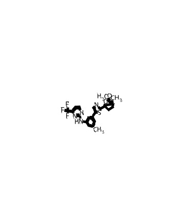 Cc1cc(Nc2nccc(C(F)(F)F)n2)cc(-c2cnc(C34CCC(C(=O)O3)C(C)(C)C4)s2)c1